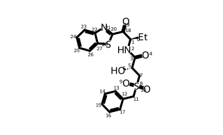 CC[C@@H](NC(=O)[C@@H](O)CS(=O)(=O)Cc1ccccc1)C(=O)c1nc2ccccc2s1